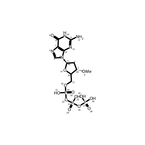 CO[C@H]1C[C@H](n2cnc3c(=O)[nH]c(N)nc32)OC1COP(=O)(O)OP(=O)(O)OP(=O)(O)O